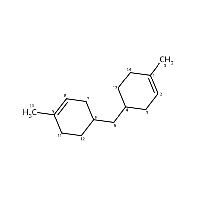 CC1=CCC(CC2CC=C(C)CC2)CC1